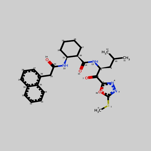 CSc1nnc(C(=O)[C@H](CC(C)C)NC(=O)[C@@H]2CCCC[C@@H]2NC(=O)Cc2cccc3ccccc23)o1